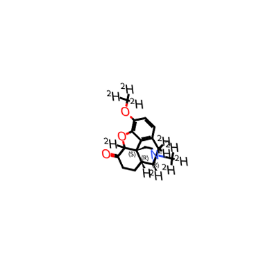 [2H]C([2H])([2H])Oc1ccc2c3c1OC1([2H])C(=O)CC[C@@H]4[C@@]31CCN(C([2H])([2H])[2H])[C@]4([2H])C2([2H])[2H]